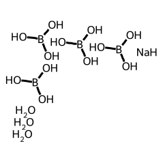 O.O.O.OB(O)O.OB(O)O.OB(O)O.OB(O)O.[NaH]